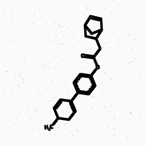 CC1C=CC(c2ccc(OC(=O)CC3CC4C=CC3C4)cc2)=CC1